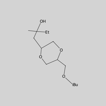 CCC(C)OCC1COC(CC(C)(O)CC)CO1